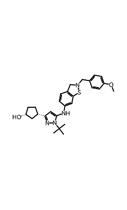 COc1ccc(CN2Cc3ccc(Nc4cc([C@H]5CC[C@@H](O)C5)nn4C(C)(C)C)cc3S2)cc1